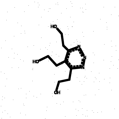 OCCc1nnnc(CCO)c1CCO